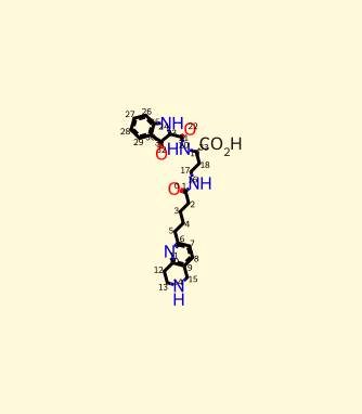 O=C(CCCCc1ccc2c(n1)CCNC2)NCC[C@H](NC(=O)C1Nc2ccccc2C1=O)C(=O)O